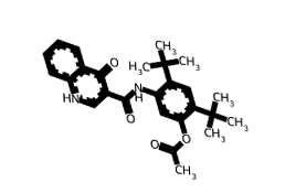 CC(=O)Oc1cc(NC(=O)c2c[nH]c3ccccc3c2=O)c(C(C)(C)C)cc1C(C)(C)C